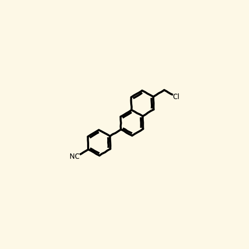 N#Cc1ccc(-c2ccc3cc(CCl)ccc3c2)cc1